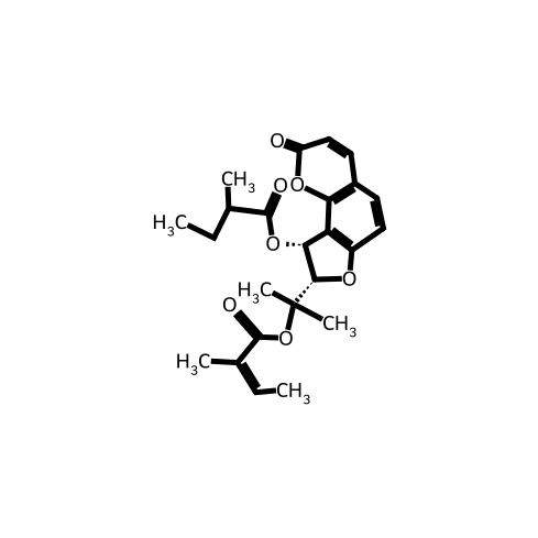 C/C=C(/C)C(=O)OC(C)(C)[C@H]1Oc2ccc3ccc(=O)oc3c2[C@H]1OC(=O)C(C)CC